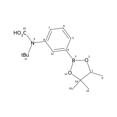 CC1OB(c2cccc(N(C(=O)O)C(C)(C)C)c2)OC1(C)C